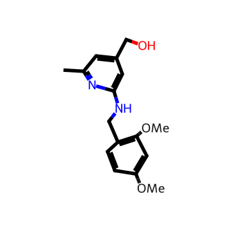 COc1ccc(CNc2cc(CO)cc(C)n2)c(OC)c1